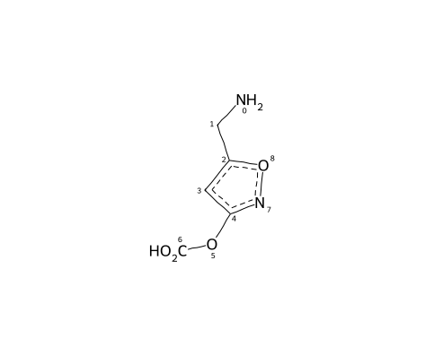 NCc1cc(OC(=O)O)no1